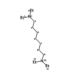 CCN(CC)CCCCCCCN(CC)CC